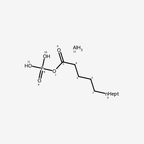 CCCCCCCCCCCC(=O)OP(=O)(O)O.[AlH3]